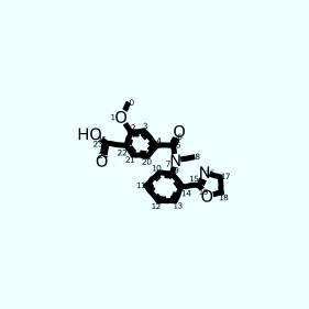 COc1cc(C(=O)N(C)c2ccccc2C2=NCCO2)ccc1C(=O)O